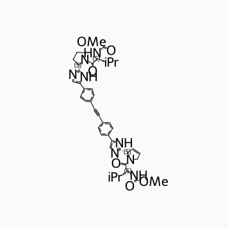 COC(=O)N[C@H](C(=O)N1CC=C[C@H]1c1ncc(-c2ccc(C#Cc3ccc(-c4cnc([C@@H]5CCCN5C(=O)[C@@H](NC(=O)OC)C(C)C)[nH]4)cc3)cc2)[nH]1)C(C)C